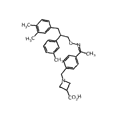 CC(=NOCC(Cc1ccc(C)c(C)c1)c1cccc(C)c1)c1ccc(CN2CC(C(=O)O)C2)cc1